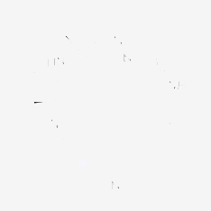 CC1NC(=O)[C@@H]2CCCN(N2)C(=O)[C@H](C)NC(=O)[C@H](C(C)C)NC(=O)/C=C\c2cc3cc1ccc3cn2